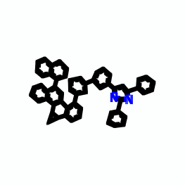 c1ccc(-c2cc(-c3cccc(-c4cccc(-c5cccc6c5-c5cc(-c7cccc8ccccc78)c7ccccc7c5C5CC65)c4)c3)nc(-c3ccccc3)n2)cc1